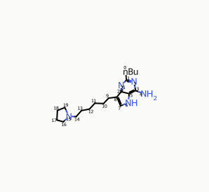 CCCCc1nc(N)c2[nH]cc(CCCCCCN3CCCC3)c2n1